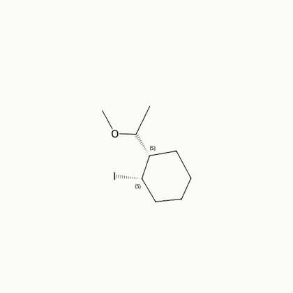 COC(C)[C@@H]1CCCC[C@@H]1I